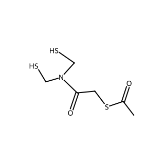 CC(=O)SCC(=O)N(CS)CS